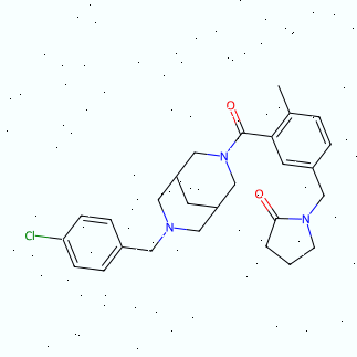 Cc1ccc(CN2CCCC2=O)cc1C(=O)N1CC2CC(CN(Cc3ccc(Cl)cc3)C2)C1